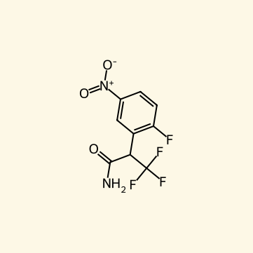 NC(=O)C(c1cc([N+](=O)[O-])ccc1F)C(F)(F)F